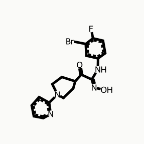 O=C(/C(=N/O)Nc1ccc(F)c(Br)c1)C1CCN(c2ccccn2)CC1